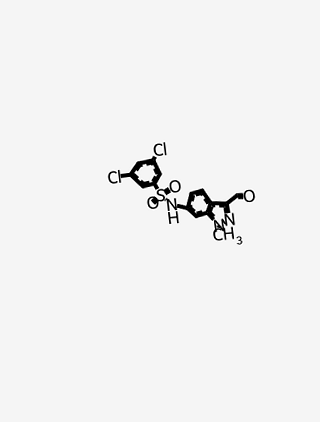 Cn1nc(C=O)c2ccc(NS(=O)(=O)c3cc(Cl)cc(Cl)c3)cc21